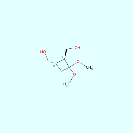 COC1(OC)C[C@H](CO)[C@H]1CO